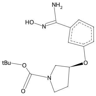 CC(C)(C)OC(=O)N1CC[C@H](Oc2cccc(C(N)=NO)c2)C1